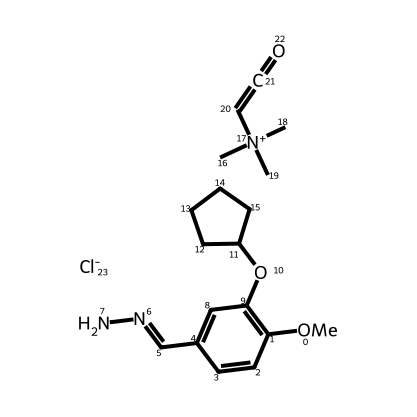 COc1ccc(C=NN)cc1OC1CCCC1.C[N+](C)(C)C=C=O.[Cl-]